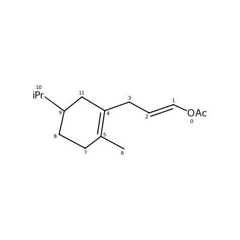 CC(=O)OC=CCC1=C(C)CCC(C(C)C)C1